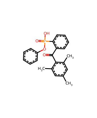 Cc1cc(C)c(C(=O)c2ccccc2P(=O)(O)Oc2ccccc2)c(C)c1